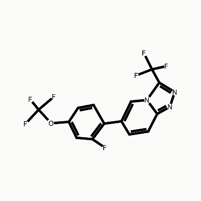 Fc1cc(OC(F)(F)F)ccc1-c1ccc2nnc(C(F)(F)F)n2c1